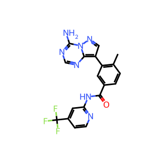 Cc1ccc(C(=O)Nc2cc(C(F)(F)F)ccn2)cc1-c1cnn2c(N)ncnc12